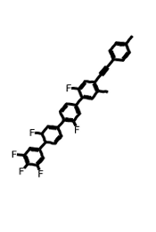 Cc1ccc(C#Cc2cc(F)c(-c3ccc(C4=CC(F)C(c5cc(F)c(F)c(F)c5)C=C4)c(F)c3)cc2C)cc1